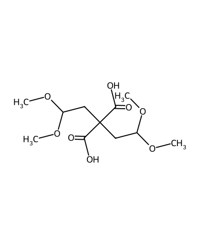 COC(CC(CC(OC)OC)(C(=O)O)C(=O)O)OC